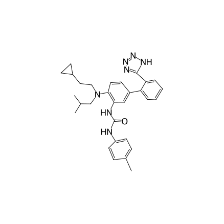 Cc1ccc(NC(=O)Nc2cc(-c3ccccc3-c3nnn[nH]3)ccc2N(CCC2CC2)CC(C)C)cc1